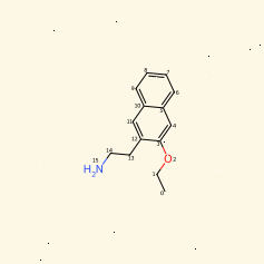 CCOc1cc2ccccc2cc1CCN